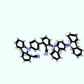 N#Cc1c(-c2ccc(-n3c4ccccc4c4cccc(C#N)c43)cc2)cccc1-n1c2ccccc2c2cc(-n3c4ccccc4c4ccccc43)ccc21